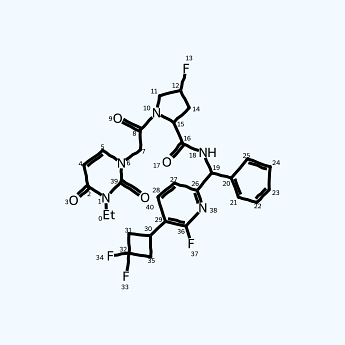 CCn1c(=O)ccn(CC(=O)N2CC(F)CC2C(=O)NC(c2ccccc2)c2ccc(C3CC(F)(F)C3)c(F)n2)c1=O